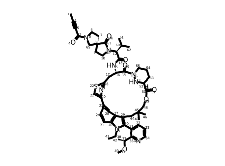 CC#CC(=O)N1CC[C@]2(CCN([C@H](C(=O)N[C@H]3Cc4nc(cs4)-c4ccc5c(c4)c(c(-c4cccnc4[C@H](C)OC)n5CC)CC(C)(C)COC(=O)[C@@H]4CCCN(N4)C3=O)C(C)C)C2=O)C1